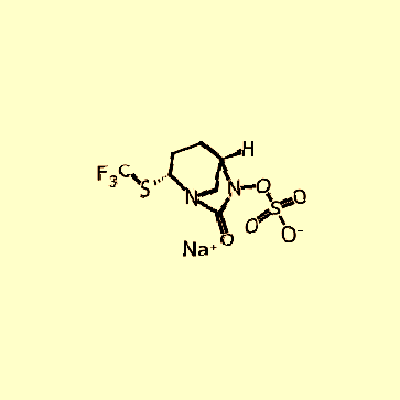 O=C1N2C[C@H](CC[C@H]2SC(F)(F)F)N1OS(=O)(=O)[O-].[Na+]